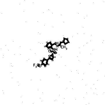 C[C@@H](CC1CCCC1)NCc1ccccc1NS(=O)(=O)c1ccc(-c2ccc(OC(F)(F)F)cc2)s1